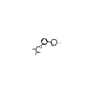 CC(COc1cccc(C2=NC[C@@H](C)CC2)c1)N(C)C